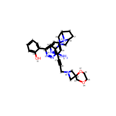 Nc1nnc(-c2ccccc2O)cc1N1CC2CCC(C1)N2c1ccnc(C#CCN2CC3(COCCO3)C2)c1